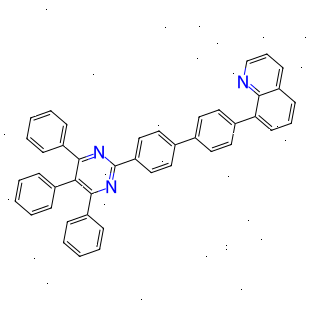 c1ccc(-c2nc(-c3ccc(-c4ccc(-c5cccc6cccnc56)cc4)cc3)nc(-c3ccccc3)c2-c2ccccc2)cc1